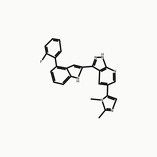 Cc1ncc(-c2cnc3[nH]nc(-c4cc5c(-c6ccccc6F)cccc5[nH]4)c3c2)n1C